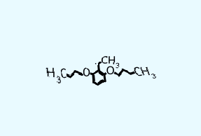 C[CH]c1c(OCCCC)cccc1OCCCC